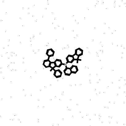 CC1(C)c2ccccc2-c2ccc(N(c3ccc4c(c3)C(C)(c3ccccc3)C3=C4C(c4ccccc4)=CCC3)c3cccc4ccccc34)cc21